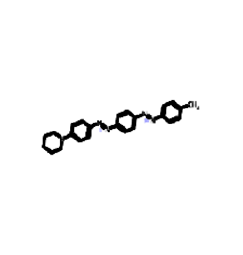 Cc1ccc(/N=N/c2ccc(/N=N/c3ccc(N4CCCCC4)cc3)cc2)cc1